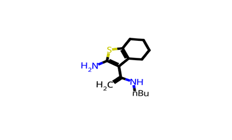 C=C(NCCCC)c1c(N)sc2c1CCCC2